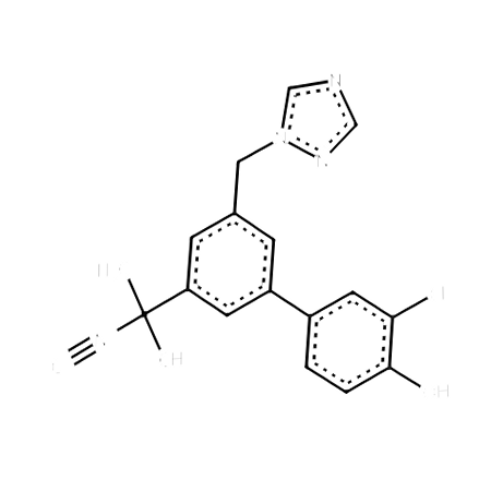 [C-]#[N+]C(C)(C)c1cc(Cn2cncn2)cc(-c2ccc(O)c(Cl)c2)c1